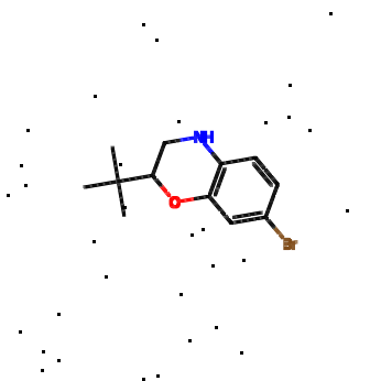 CC(C)(C)C1CNc2ccc(Br)cc2O1